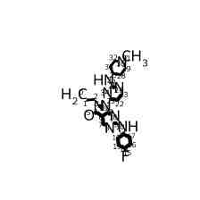 C=CCn1c(=O)c2cnc(Nc3ccc(F)cc3)nc2n1-c1ccnc(NC2CCN(C)CC2)n1